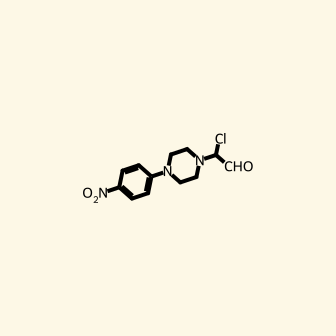 O=CC(Cl)N1CCN(c2ccc([N+](=O)[O-])cc2)CC1